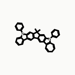 CC1(C)c2cc3c(cc2-c2cc4c5ccccc5n(-c5ccccc5)c4cc21)c1c(n3-c2ccccc2)C=CCC=C1